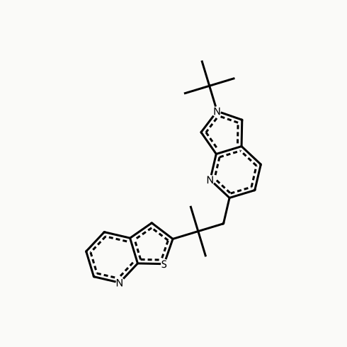 CC(C)(Cc1ccc2cn(C(C)(C)C)cc2n1)c1cc2cccnc2s1